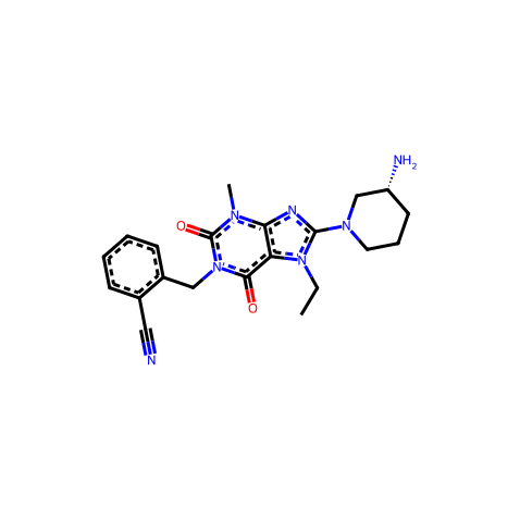 CCn1c(N2CCC[C@@H](N)C2)nc2c1c(=O)n(Cc1ccccc1C#N)c(=O)n2C